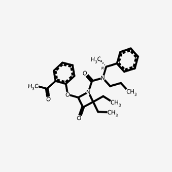 CCCN(C(=O)N1C(Oc2ccccc2C(C)=O)C(=O)C1(CC)CC)[C@H](C)c1ccccc1